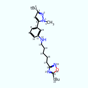 Cn1nc(C(C)(C)C)cc1-c1cccc(NCCCCCc2noc(C(C)(C)C)n2)c1